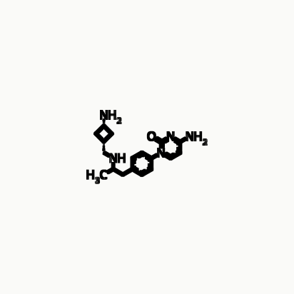 CC(Cc1ccc(-n2ccc(N)nc2=O)cc1)NC[C@H]1C[C@@H](N)C1